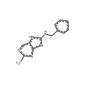 FC(F)(F)c1ncc2[nH]c(NCc3ccccc3)nc2n1